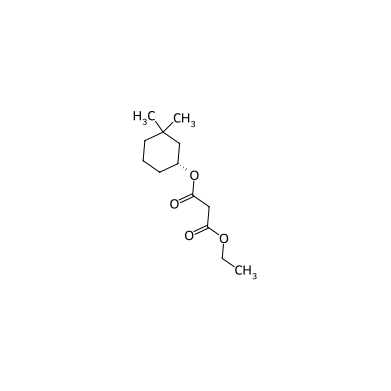 CCOC(=O)CC(=O)O[C@@H]1CCCC(C)(C)C1